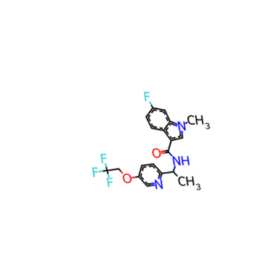 CC(NC(=O)c1cn(C)c2cc(F)ccc12)c1ccc(OCC(F)(F)F)cn1